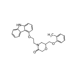 Cc1ccccc1OCC1CN(CCOc2cccc3[nH]c4ccccc4c23)C(=O)CO1